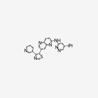 CC(C)c1cnnc(Nc2ccc3ncc(-c4scnc4-c4cccnc4)cc3n2)c1